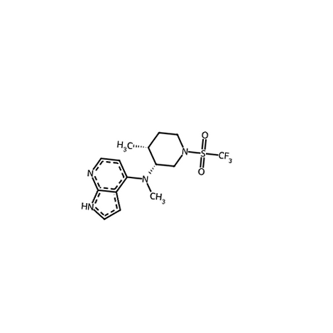 C[C@@H]1CCN(S(=O)(=O)C(F)(F)F)C[C@@H]1N(C)c1ccnc2[nH]ccc12